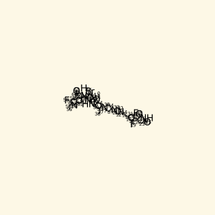 CCOc1cc(N2CCC(N3CCN(CCc4cc(F)c(C5CCC(=O)NC5=O)c(F)c4)CC3)CC2)c(CC)cc1Nc1ncc(Br)c(Nc2ccc3nc(CC)c(F)cc3c2P(C)(C)=O)n1